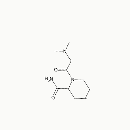 CN(C)CC(=O)N1CC[CH]CC1C(N)=O